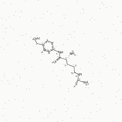 CC(=O)OCc1ccc(NC(=O)[C@H](N)CCCNC(N)=O)cc1